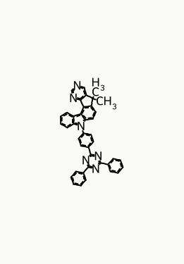 CC1(C)c2cncnc2-c2c1ccc1c2c2ccccc2n1-c1ccc(-c2nc(-c3ccccc3)nc(-c3ccccc3)n2)cc1